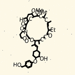 CCC1/C=C(\C)CC(C)CC(OC)C2CC(O)(C(=O)C(=O)N3CCCOC3C(=O)OC(C(C)=CC3CCC(Oc4ccc(CO)cc4)C(O)C3)C(C)CCC1=O)C(C)CC2OC